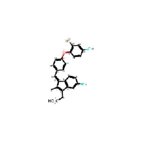 CC1=C(CC(=O)O)c2cc(F)ccc2/C1=C\c1ccc(Oc2ccc(F)cc2Br)cc1